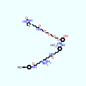 N#CC#Cc1ccc(NC(=O)CCCCN(N)/C=C(\N)CCCC(=O)NCCCc2ccc(NNc3ccc(O)cc3OCCOCCOCCOCCNC(=O)CCCC[C@@H]3SCC4NC(=O)NC43)c(C(=O)O)c2)cc1